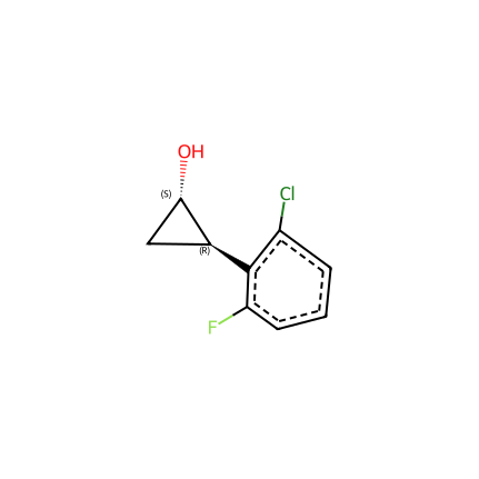 O[C@H]1C[C@@H]1c1c(F)cccc1Cl